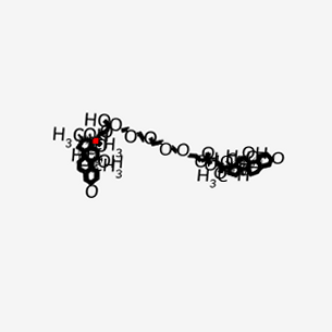 C[C@@H]1C[C@H]2[C@@H]3CCC4=CC(=O)C=C[C@]4(C)[C@@]3(F)[C@@H](O)C[C@]2(C)[C@@]1(O)C(=O)COC(=O)OCCOCCOCCOCCOCCOC(O)OCC(=O)[C@@]1(O)[C@H](C)C[C@H]2[C@@H]3CCC4=CC(=O)C=C[C@]4(C)[C@@]3(F)[C@@H](O)C[C@@]21C